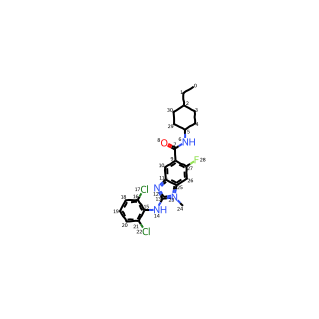 CCC1CCC(NC(=O)c2cc3nc(Nc4c(Cl)cccc4Cl)n(C)c3cc2F)CC1